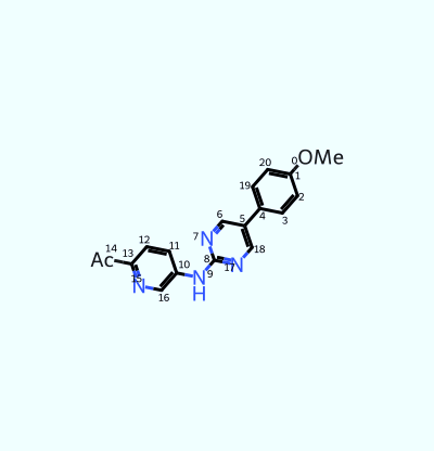 COc1ccc(-c2cnc(Nc3ccc(C(C)=O)nc3)nc2)cc1